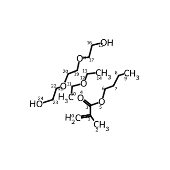 C=C(C)C(=O)OCCCC.CCOCC.OCCOCCOCCO